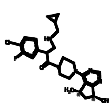 C[C@@H]1C[C@H](O)c2ncnc(N3CCN(C(=O)C(CNCC4CC4)c4ccc(Cl)c(F)c4)CC3)c21